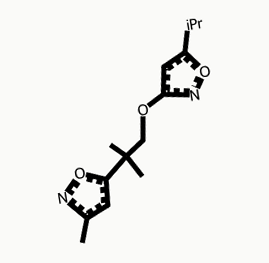 Cc1cc(C(C)(C)COc2cc(C(C)C)on2)on1